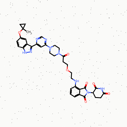 CC1(Oc2ccc3[nH]nc(-c4cc(N5CCN(C(=O)CCOCCNc6cccc7c6C(=O)N(C6CCC(=O)NC6=O)C7=O)CC5)ncn4)c3c2)CC1